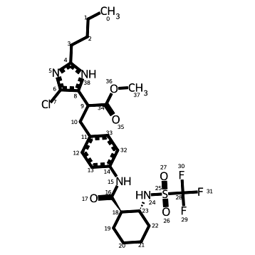 CCCCc1nc(Cl)c(C(Cc2ccc(NC(=O)[C@@H]3CCCC[C@H]3NS(=O)(=O)C(F)(F)F)cc2)C(=O)OC)[nH]1